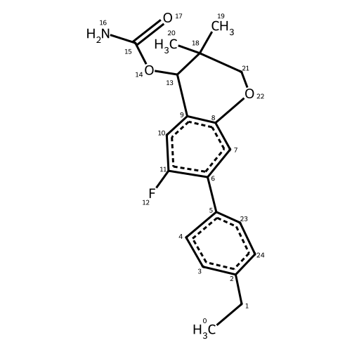 CCc1ccc(-c2cc3c(cc2F)C(OC(N)=O)C(C)(C)CO3)cc1